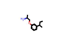 CCC(C)c1cccc(OCC(C)N)c1